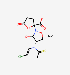 CC(=S)N(C=CCl)[C@H]1CON(C2(C(=O)[O-])CCC(=O)O2)C1=O.[Na+]